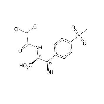 CS(=O)(=O)c1ccc([C@@H](O)[C@H](NC(=O)C(Cl)Cl)C(=O)O)cc1